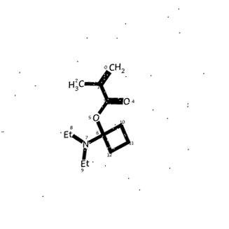 C=C(C)C(=O)OC1(N(CC)CC)CCC1